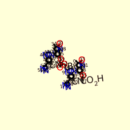 Cc1cc2c(N3CCN(C)c4cc(-c5cnn(C)c5)c(C#N)cc43)cc(OCC(=O)O)cc2n(C)c1=O.Cc1cc2c(N3CCN(C)c4cc(-c5cnn(C)c5)c(C#N)cc43)cc(OCC(=O)OC(C)(C)C)cc2n(C)c1=O